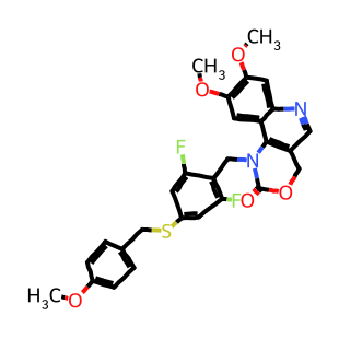 COc1ccc(CSc2cc(F)c(CN3C(=O)OCc4cnc5cc(OC)c(OC)cc5c43)c(F)c2)cc1